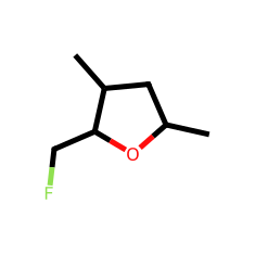 CC1CC(C)C(CF)O1